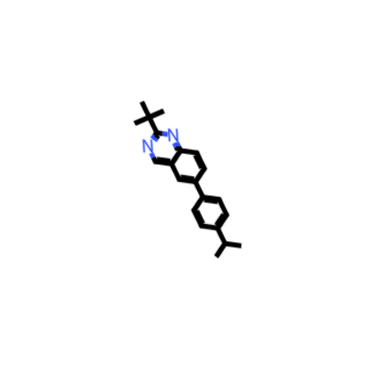 CC(C)c1ccc(-c2ccc3nc(C(C)(C)C)ncc3c2)cc1